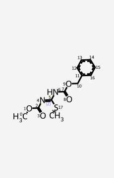 COC(=O)/N=C(/NC(=O)OCc1ccccc1)SC